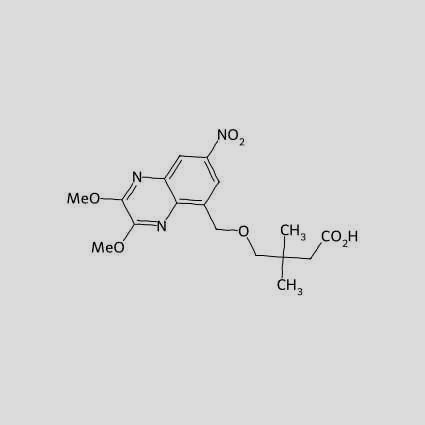 COc1nc2cc([N+](=O)[O-])cc(COCC(C)(C)CC(=O)O)c2nc1OC